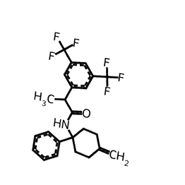 C=C1CCC(NC(=O)C(C)c2cc(C(F)(F)F)cc(C(F)(F)F)c2)(c2ccccc2)CC1